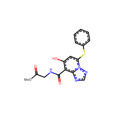 COC(=O)CNC(=O)c1c(O)cc(Sc2ccccc2)n2ncnc12